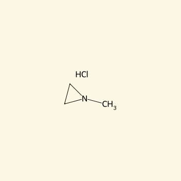 CN1CC1.Cl